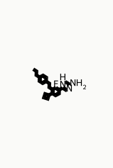 CCCc1ccc(CCc2c(C3CCC3)ccc(C3=CN=C(N)CN3)c2F)cc1